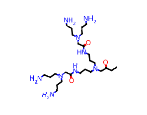 CCC(=O)CN(CCCNC(=O)CN(CCCN)CCCN)CCCNC(=O)CN(CCCN)CCCN